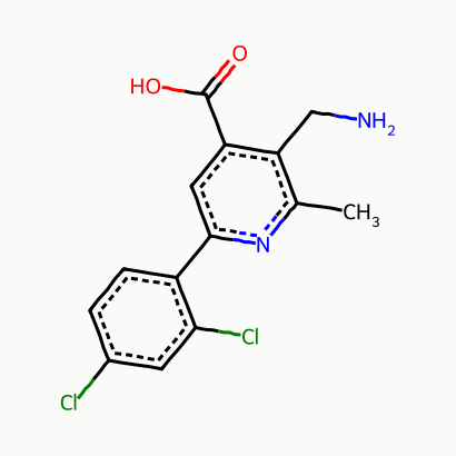 Cc1nc(-c2ccc(Cl)cc2Cl)cc(C(=O)O)c1CN